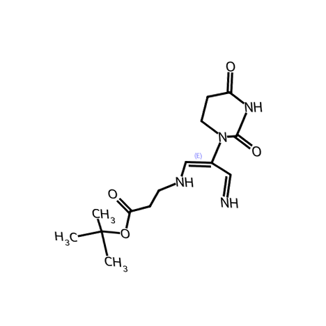 CC(C)(C)OC(=O)CCN/C=C(\C=N)N1CCC(=O)NC1=O